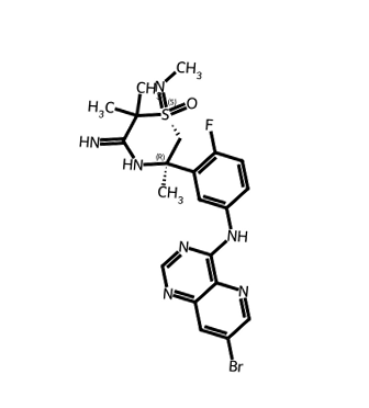 CN=[S@]1(=O)C[C@@](C)(c2cc(Nc3ncnc4cc(Br)cnc34)ccc2F)NC(=N)C1(C)C